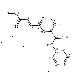 COC(=O)C=CC(=O)OC(OC)C(=O)Oc1ccccc1